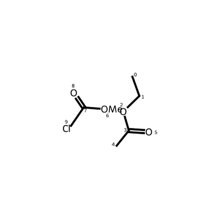 CCOC(C)=O.COC(=O)Cl